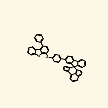 c1ccc(-c2ccc(Nc3ccc(-c4ccc5c(c4)C4(c6ccccc6-5)c5ccccc5-c5cccc6cccc4c56)cc3)c3oc4ccccc4c23)cc1